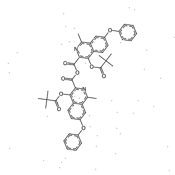 Cc1nc(C(=O)OC(=O)c2nc(C)c3cc(Oc4ccccc4)ccc3c2OC(=O)C(C)(C)C)c(OC(=O)C(C)(C)C)c2ccc(Oc3ccccc3)cc12